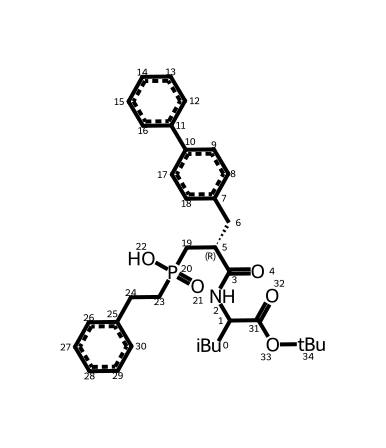 CCC(C)C(NC(=O)[C@@H](Cc1ccc(-c2ccccc2)cc1)CP(=O)(O)CCc1ccccc1)C(=O)OC(C)(C)C